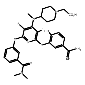 CN(C)C(=O)c1cccc(Oc2nc(Oc3cc(C(=N)N)ccc3O)c(F)c(N(C)C3CCN(CC(=O)O)CC3)c2F)c1